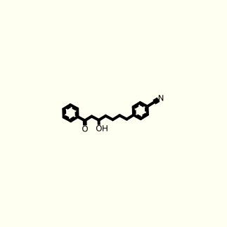 N#Cc1ccc(CCCCC(O)CC(=O)c2ccccc2)cc1